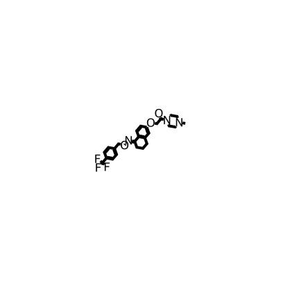 CN1CCN(C(=O)COc2ccc3c(c2)CCCC3=NOCc2ccc(C(F)(F)F)cc2)CC1